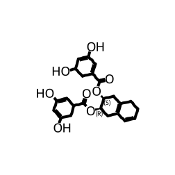 O=C(O[C@H]1CC2=C(C=CCC2)C[C@H]1OC(=O)C1C=C(O)C=C(O)C1)C1=CC(O)=CC(O)C1